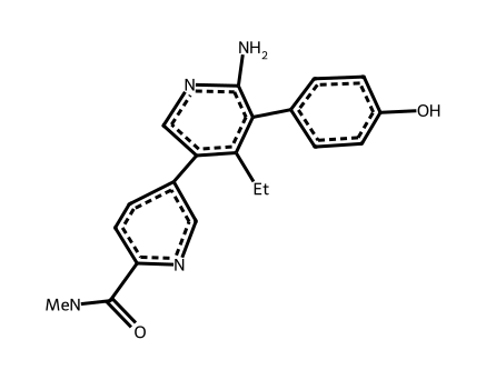 CCc1c(-c2ccc(C(=O)NC)nc2)cnc(N)c1-c1ccc(O)cc1